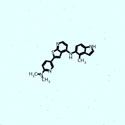 Cc1c(Nc2ccnc3sc(-c4ccc(N(C)C)nc4)cc23)ccc2[nH]ccc12